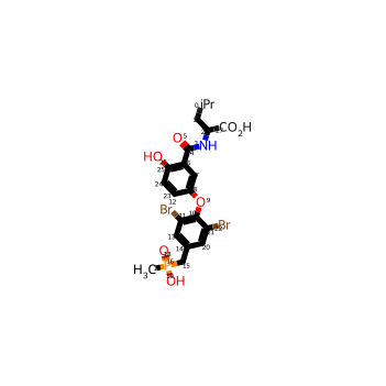 CC(C)CC(NC(=O)c1cc(Oc2c(Br)cc(CP(C)(=O)O)cc2Br)ccc1O)C(=O)O